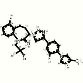 Cc1cn(-c2ccc(-c3cn([C@H]4CCc5c(F)cccc5N(CC(F)(F)F)C4=O)nn3)cc2F)cn1